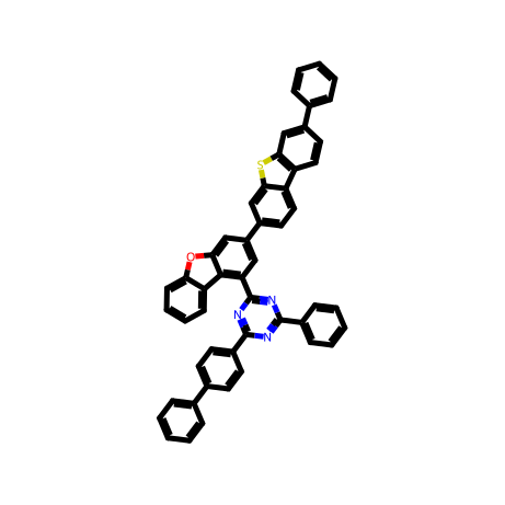 c1ccc(-c2ccc(-c3nc(-c4ccccc4)nc(-c4cc(-c5ccc6c(c5)sc5cc(-c7ccccc7)ccc56)cc5oc6ccccc6c45)n3)cc2)cc1